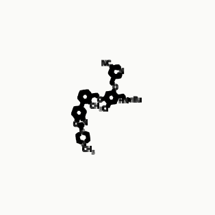 CCCCNCc1cc(Cl)c(OCc2cccc(-c3ccc4oc(N5CCN(C)CC5)nc4c3)c2C)cc1OCc1cncc(C#N)c1